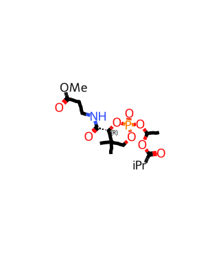 COC(=O)CCNC(=O)[C@@H]1OP(=O)(OC(C)OC(=O)C(C)C)OCC1(C)C